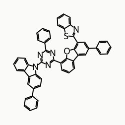 c1ccc(-c2cc(-c3nc4ccccc4s3)c3oc4c(-c5nc(-c6ccccc6)nc(-n6c7ccccc7c7cc(-c8ccccc8)ccc76)n5)cccc4c3c2)cc1